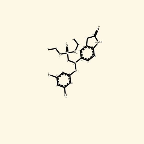 CCOP(=O)(CN(Sc1cc(Cl)cc(Cl)c1)c1ccc2c(c1)CC(=O)N2)OCC